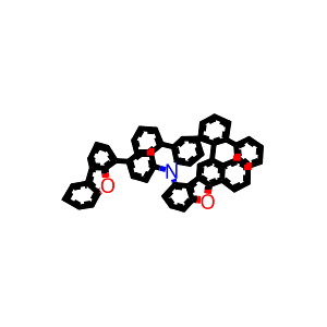 c1ccc(-c2ccccc2-c2cc3c(oc4cccc(N(c5ccc(-c6cccc7c6oc6ccccc67)cc5)c5ccccc5-c5ccccc5)c43)c3ccccc23)cc1